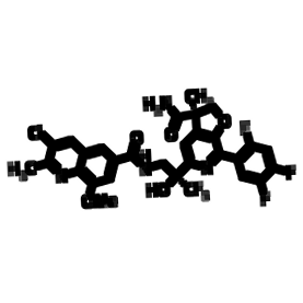 COc1cc(C(=O)NC[C@](O)(c2cc3c(c(-c4cc(F)c(F)cc4F)n2)OC[C@]3(C)C(N)=O)C(F)(F)F)cc2cc(Cl)c(C)nc12